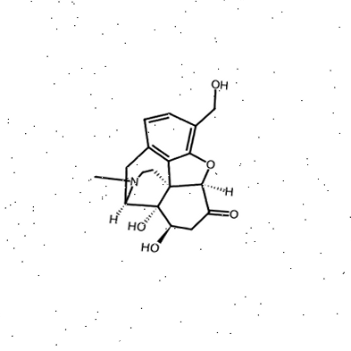 CN1CC[C@]23c4c5ccc(CO)c4O[C@H]2C(=O)C[C@@H](O)[C@@]3(O)[C@H]1C5